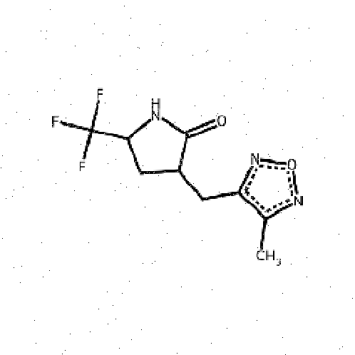 Cc1nonc1CC1CC(C(F)(F)F)NC1=O